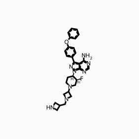 Nc1ncnc2c1c(-c1ccc(Oc3ccccc3)cc1)nn2[C@@H]1CCN(C2CN(CC3CNC3)C2)C[C@@H]1F